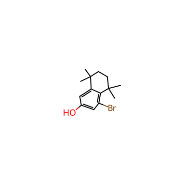 CC1(C)CCC(C)(C)c2c(Br)cc(O)cc21